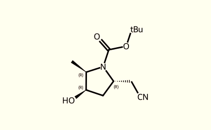 C[C@@H]1[C@H](O)C[C@@H](CC#N)N1C(=O)OC(C)(C)C